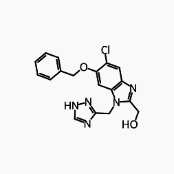 OCc1nc2cc(Cl)c(OCc3ccccc3)cc2n1Cc1nc[nH]n1